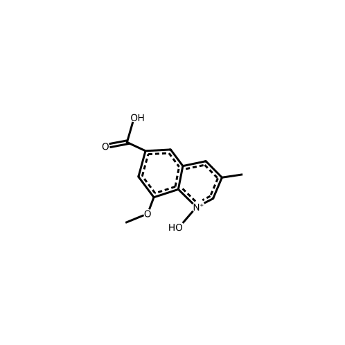 COc1cc(C(=O)O)cc2cc(C)c[n+](O)c12